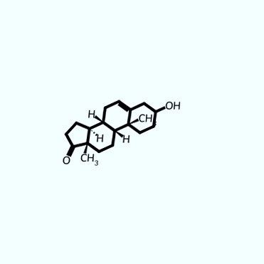 C[C@]12CCC(O)CC1=CC[C@@H]1[C@H]2CC[C@]2(C)C(=O)CC[C@@H]12